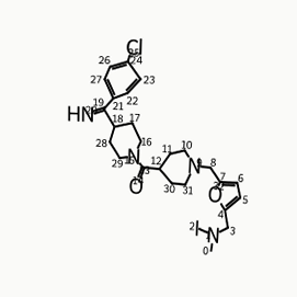 CN(I)Cc1ccc(CN2CCC(C(=O)N3CCC(C(=N)c4ccc(Cl)cc4)CC3)CC2)o1